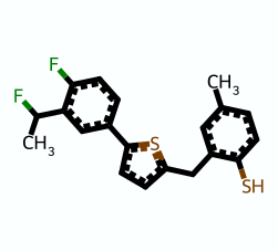 Cc1ccc(S)c(Cc2ccc(-c3ccc(F)c(C(C)F)c3)s2)c1